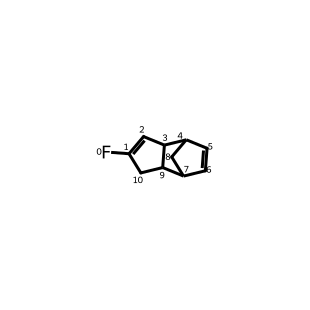 FC1=CC2C3C=CC(C3)C2C1